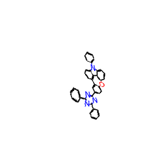 c1ccc(-c2nc(-c3ccccc3)nc(-c3ccc4oc5cccc6c5c5c(cccc5n6-c5ccccc5)c4c3)n2)cc1